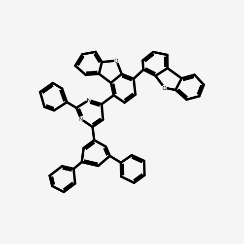 c1ccc(-c2cc(-c3ccccc3)cc(-c3cc(-c4ccc(-c5cccc6c5oc5ccccc56)c5oc6ccccc6c45)nc(-c4ccccc4)n3)c2)cc1